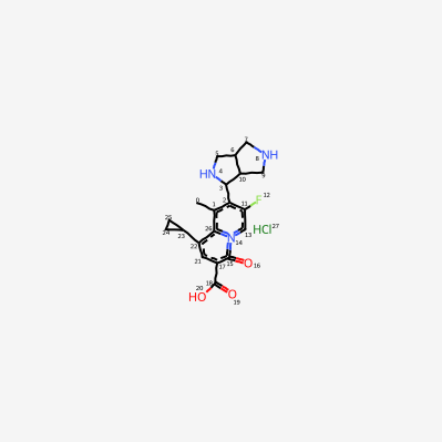 Cc1c(C2NCC3CNCC32)c(F)cn2c(=O)c(C(=O)O)cc(C3CC3)c12.Cl